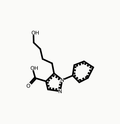 O=C(O)c1cnn(-c2ccccc2)c1CCCCO